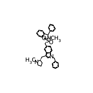 CN1CCC[C@@H]1Cc1cn(Cc2ccccc2)c2ccc(CS(=O)(=O)N(C)C(c3ccccc3)c3ccccc3)cc12